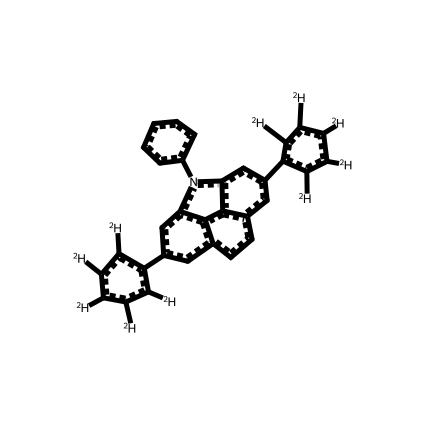 [2H]c1c([2H])c([2H])c(-c2cc3ccc4cc(-c5c([2H])c([2H])c([2H])c([2H])c5[2H])cc5c4c3c(c2)n5-c2ccccc2)c([2H])c1[2H]